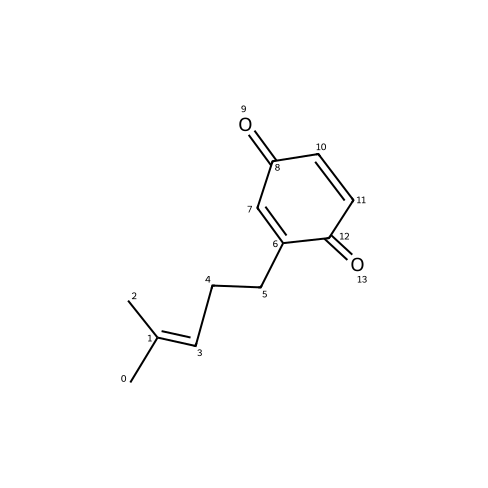 CC(C)=CCCC1=CC(=O)C=CC1=O